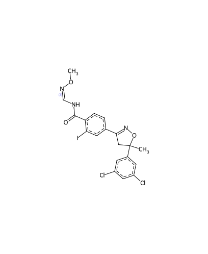 CO/N=C\NC(=O)c1ccc(C2=NOC(C)(c3cc(Cl)cc(Cl)c3)C2)cc1I